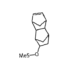 CSOC1CC2CC1C1C3C=CC(C3)C21